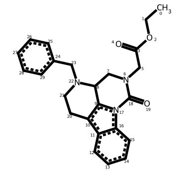 CCOC(=O)CN1CC2c3c(c4ccccc4n3C1=O)CCN2Cc1ccccc1